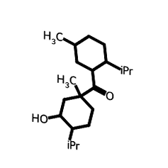 CC1CCC(C(C)C)C(C(=O)C2(C)CCC(C(C)C)C(O)C2)C1